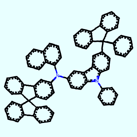 c1ccc(-n2c3ccc(N(c4ccc5c(c4)-c4ccccc4C54c5ccccc5-c5ccccc54)c4cccc5ccccc45)cc3c3cc(C4(c5ccccc5)c5ccccc5-c5ccccc54)ccc32)cc1